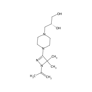 C=C(C)N1N=C(N2CCN(C[C@@H](O)CO)CC2)C1(C)C